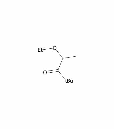 CCOC(C)C(=O)C(C)(C)C